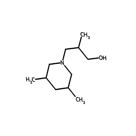 CC(CO)CN1CC(C)CC(C)C1